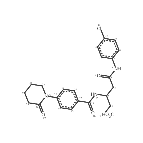 O=C(O)CC(CC(=O)Nc1ccc(Cl)cc1)NC(=O)c1ccc(N2CCCCC2=O)cc1